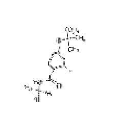 [2H]C([2H])([2H])NC(=O)c1ccc(NC(C)(C)C(=O)O)cc1F